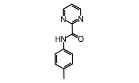 Cc1ccc(NC(=O)c2ncccn2)cc1